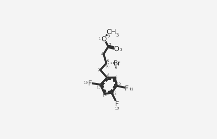 COC(=O)C[C@H](Br)Cc1cc(F)c(F)cc1F